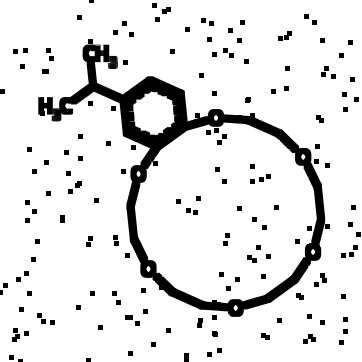 CC(C)c1ccc2c(c1)OCCOCCOCCOCCOCCO2